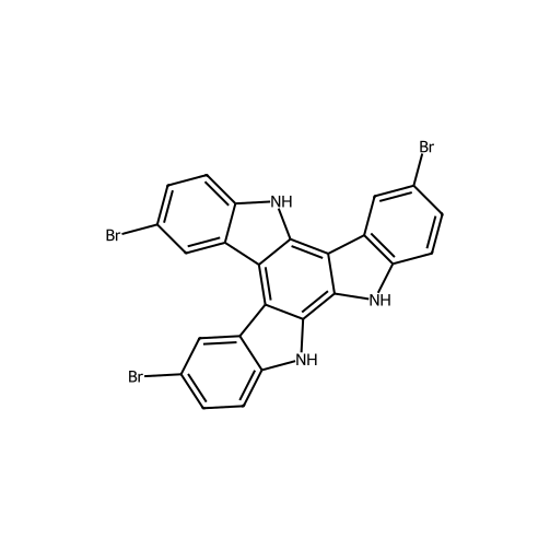 Brc1ccc2[nH]c3c4[nH]c5ccc(Br)cc5c4c4c5cc(Br)ccc5[nH]c4c3c2c1